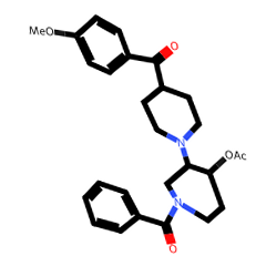 COc1ccc(C(=O)C2CCN(C3CN(C(=O)c4ccccc4)CCC3OC(C)=O)CC2)cc1